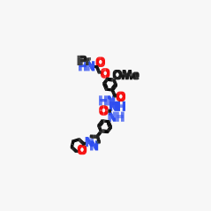 COc1cc(C(=O)NNC(=O)Nc2ccc(-c3cnn(C4CCCCO4)c3)cc2)ccc1OCC(=O)NC(C)C